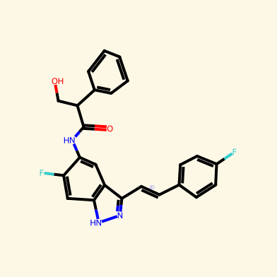 O=C(Nc1cc2c(/C=C/c3ccc(F)cc3)n[nH]c2cc1F)C(CO)c1ccccc1